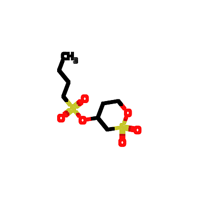 CCCCS(=O)(=O)OC1CCOS(=O)(=O)C1